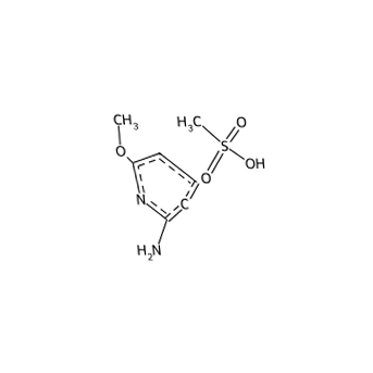 COc1cccc(N)n1.CS(=O)(=O)O